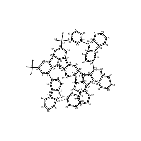 CC(C)(C)c1cc(-c2ccc3c(c2)c2ccccc2n3-c2ccccc2)c2c(c1)c1cc(C(C)(C)C)cc3c4cc5c(nc4n2c31)c1cc2ccccc2c2c3c4ccccc4cc(-c4ccc6c(c4)c4ccccc4n6-c4ccccc4)c3n5c12